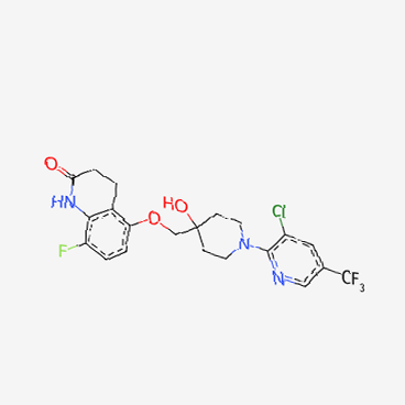 O=C1CCc2c(OCC3(O)CCN(c4ncc(C(F)(F)F)cc4Cl)CC3)ccc(F)c2N1